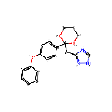 c1ccc(Oc2ccc(C3(Cc4nc[nH]n4)OCCCO3)cc2)cc1